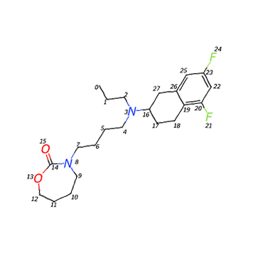 CCCN(CCCCN1CCCCOC1=O)C1CCc2c(F)cc(F)cc2C1